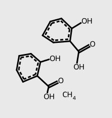 C.O=C(O)c1ccccc1O.O=C(O)c1ccccc1O